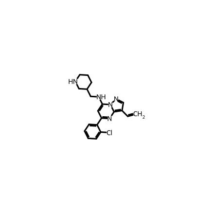 C=Cc1cnn2c(NCC3CCCNC3)cc(-c3ccccc3Cl)nc12